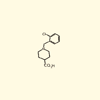 O=C(O)C1CCN(Cc2ccccc2Cl)CC1